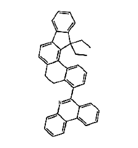 CCC1(CC)c2ccccc2-c2ccc3c(c21)-c1cccc(-c2nc4ccccc4c4ccccc24)c1CC3